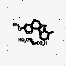 CC1=NCCn2c1cc1c2-c2ccc(OC(C)(C)C)cc2CC1.O=C(O)C=CC(=O)O